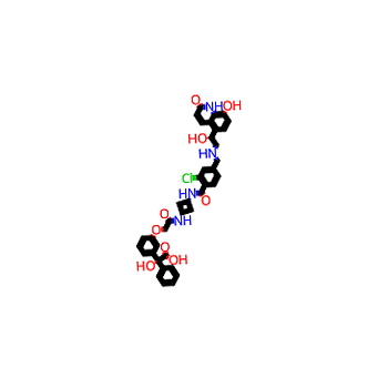 O=C(COc1cccc([C@](O)(C(=O)O)c2ccccc2)c1)N[C@H]1C[C@H](NC(=O)c2ccc(CNC[C@H](O)c3ccc(O)c4[nH]c(=O)ccc34)cc2Cl)C1